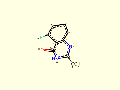 O=C(O)c1nc2cccc(F)c2c(=O)[nH]1